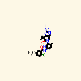 Cc1ccc(NC(=O)c2cc(C(F)(F)F)ccc2Cl)cc1N1Cc2cnc(N)nc2C2(CC2)C1=O